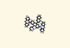 c1ccc(-c2c3ccc(N4c5ccccc5Cc5ccccc54)cc3c(-c3ccc4ccccc4c3)c3ccc(N4c5ccccc5Cc5ccccc54)cc23)nc1